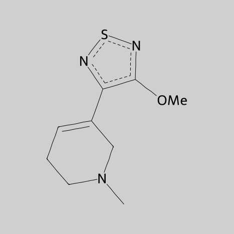 COc1nsnc1C1=CCCN(C)C1